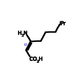 CC(C)CCC/C(N)=C\C(=O)O